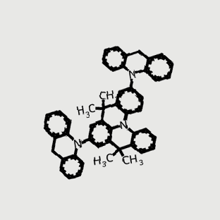 CC1(C)c2ccccc2N2c3ccc(N4c5ccccc5Cc5ccccc54)cc3C(C)(C)c3cc(N4c5ccccc5Cc5ccccc54)cc1c32